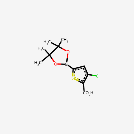 CC1(C)OB(c2cc(Cl)c(C(=O)O)s2)OC1(C)C